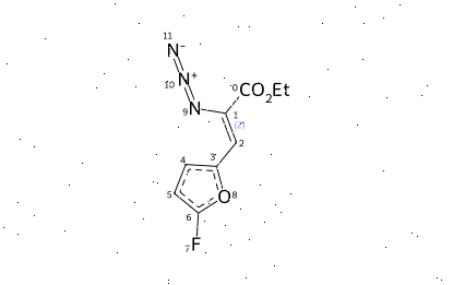 CCOC(=O)/C(=C/c1ccc(F)o1)N=[N+]=[N-]